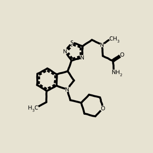 CCc1cccc2c1N(CC1CCOCC1)CC2c1nsc(CN(C)CC(N)=O)n1